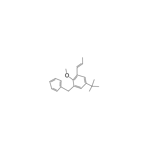 CC=Cc1cc(C(C)(C)C)cc(Cc2ccccc2)c1OC